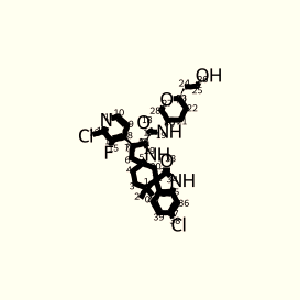 CC1(C)CCC2(C[C@@H](c3ccnc(Cl)c3F)[C@H](C(=O)N[C@@H]3CC[C@@H](CCO)OC3)N2)CC12C(=O)Nc1cc(Cl)ccc12